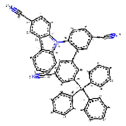 N#Cc1cc(-c2cc(C#N)ccc2-n2c3ccccc3c3cc(C#N)ccc32)cc([Si](c2ccccc2)(c2ccccc2)c2ccccc2)c1